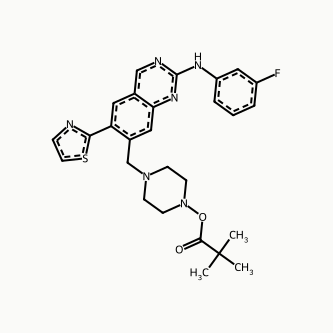 CC(C)(C)C(=O)ON1CCN(Cc2cc3nc(Nc4cccc(F)c4)ncc3cc2-c2nccs2)CC1